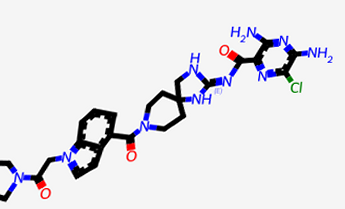 CCN(CC)C(=O)Cn1ccc2c(C(=O)N3CCC4(CC3)CN/C(=N\C(=O)c3nc(Cl)c(N)nc3N)N4)cccc21